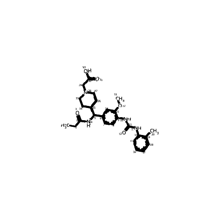 CCC(=O)NC(c1ccc(NC(=O)Nc2ccccc2C)c(OC)c1)C1CCN(CC(=O)O)CC1